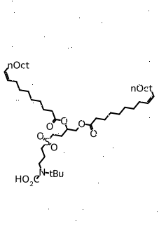 CCCCCCCC/C=C\CCCCCCCC(=O)OCC(CCS(=O)(=O)CCCN(C(=O)O)C(C)(C)C)OC(=O)CCCCCCC/C=C\CCCCCCCC